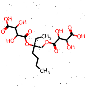 CCCCC(CC)(COC(=O)C(O)C(O)C(=O)O)OC(=O)C(O)C(O)C(=O)O